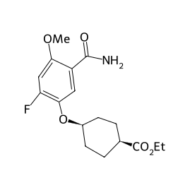 CCOC(=O)[C@H]1CC[C@@H](Oc2cc(C(N)=O)c(OC)cc2F)CC1